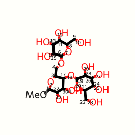 COC1OC(COC2OC(CO)C(O)C(O)C2O)C(OC2OC(CO)C(O)C(O)C2O)C(O)C1O